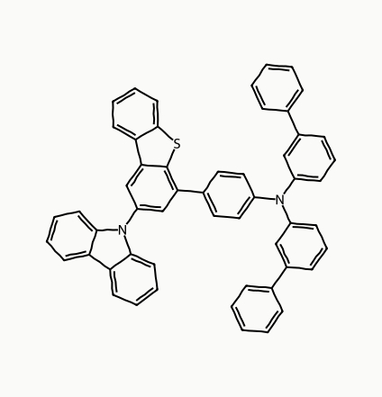 c1ccc(-c2cccc(N(c3ccc(-c4cc(-n5c6ccccc6c6ccccc65)cc5c4sc4ccccc45)cc3)c3cccc(-c4ccccc4)c3)c2)cc1